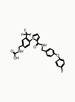 O=C(O)NCc1ccc(-n2cccc2C(=O)NCc2ccc(Oc3ccc(F)cc3)cc2)c(C(F)(F)F)c1